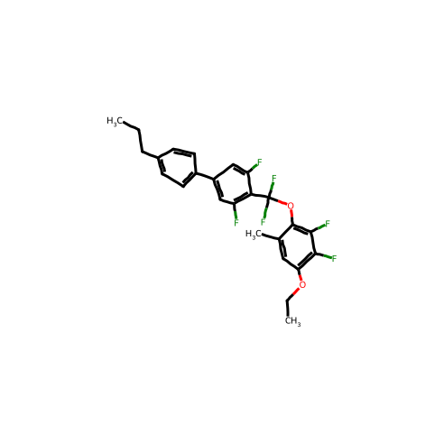 CCCc1ccc(-c2cc(F)c(C(F)(F)Oc3c(C)cc(OCC)c(F)c3F)c(F)c2)cc1